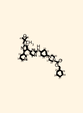 CC1(Cn2cc(-c3ccnc(Nc4ccc(N5CCN(C(=O)OCc6ccccc6)CC5)cc4)n3)c(-c3cccnc3)n2)COC1